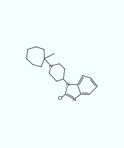 CC1(N2CCC(n3c(Cl)nc4ccccc43)CC2)CCCCCC1